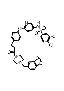 O=C(CCc1ccc(Oc2ccc(NS(=O)(=O)c3ccc(Cl)c(Cl)c3)cn2)cc1)N1CCN(Cc2ccc3c(c2)OCO3)CC1